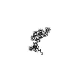 Cc1nc2cc(-c3ccc(-c4ccc5c(-c6cccc(-c7ccccc7)c6)c6ccccc6c(-c6cccc(-c7ccccc7)c6)c5c4)cc3)ccc2n1-c1ccccc1